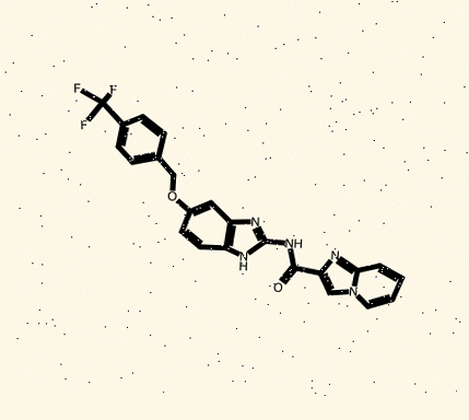 O=C(Nc1nc2cc(OCc3ccc(C(F)(F)F)cc3)ccc2[nH]1)c1cn2ccccc2n1